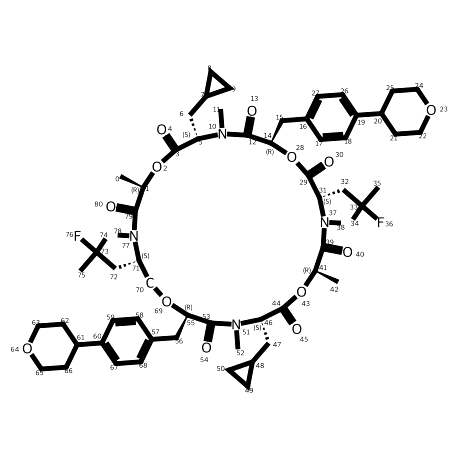 C[C@H]1OC(=O)[C@H](CC2CC2)N(C)C(=O)[C@@H](Cc2ccc(C3CCOCC3)cc2)OC(=O)[C@H](CC(C)(C)F)N(C)C(=O)[C@@H](C)OC(=O)[C@H](CC2CC2)N(C)C(=O)[C@@H](Cc2ccc(C3CCOCC3)cc2)OC[C@H](CC(C)(C)F)N(C)C1=O